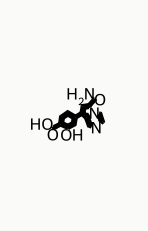 NC(=O)c1cc(-c2ccc(C(=O)O)c(O)c2)c2cnccn12